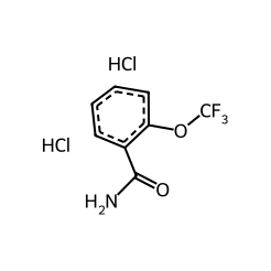 Cl.Cl.NC(=O)c1ccccc1OC(F)(F)F